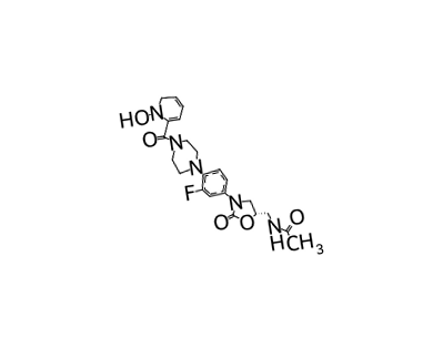 CC(=O)NC[C@H]1CN(c2ccc(N3CCN(C(=O)C4=CC=CCN4O)CC3)c(F)c2)C(=O)O1